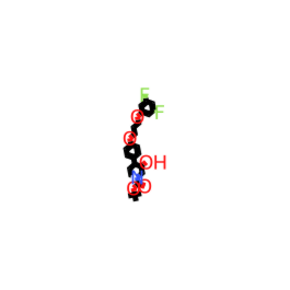 CC(C)(C)OC(=O)N1CCC(c2ccc(OCCCOc3cc(F)cc(F)c3)cc2)C(O)C1